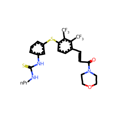 CCCNC(=S)Nc1cccc(Sc2ccc(C=CC(=O)N3CCOCC3)c(C(F)(F)F)c2C(F)(F)F)c1